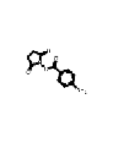 Nc1ccc(C(=O)ON2C(=O)CCC2=O)cc1